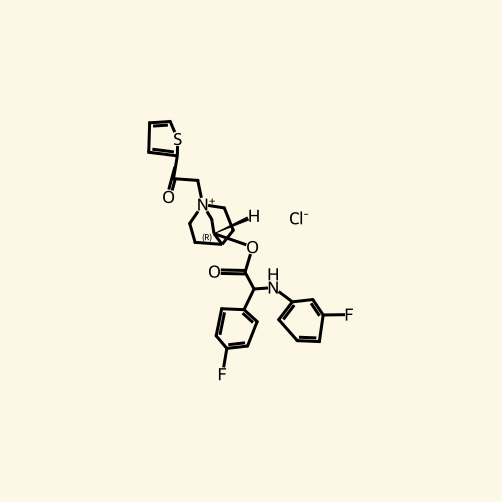 O=C(C[N+]12CCC(CC1)[C@@H](OC(=O)C(Nc1cccc(F)c1)c1ccc(F)cc1)C2)c1cccs1.[Cl-]